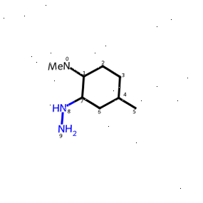 CNC1CCC(C)CC1NN